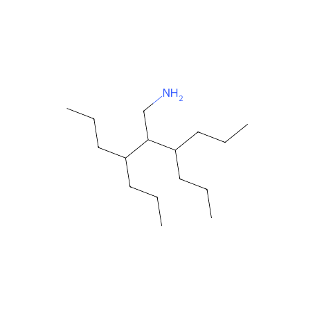 CCCC(CCC)C(CN)C(CCC)CCC